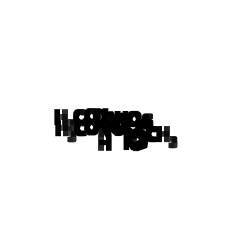 Cc1ccnc(-c2ccnc(NC(=O)OC(C)(C)C)c2)c1C(O)=S